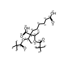 CC(OC(=O)C(C)(C)C)C(CCCCCC(=O)O)(C(=O)O)C(C)OC(=O)C(C)(C)C